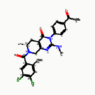 CNC(=O)c1ccc(-n2c(NC(C)C)nc3c(c2=O)C[C@@H](C)N(C(=O)c2cc(Br)c(Cl)cc2OC)C3)cc1